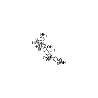 Nc1ccc(/N=N/c2c(S(=O)(=O)O)cc3cc(S(=O)(=O)O)c(/N=N/c4ccc(S(=O)(=O)O)cc4)c(O)c3c2O)c(S(=O)(=O)O)c1